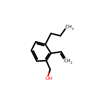 C=Cc1c(CO)cccc1CCC